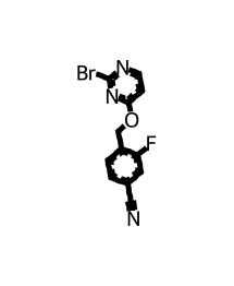 N#Cc1ccc(COc2ccnc(Br)n2)c(F)c1